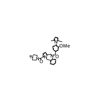 COc1cc(C(=O)N2Cc3ccc(C(=O)N4CCN(C)CC4)n3Cc3ccccc32)ccc1-n1c(C)ccc1C